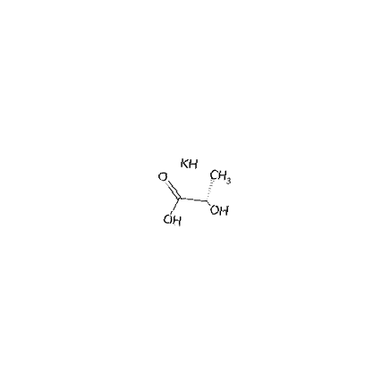 C[C@H](O)C(=O)O.[KH]